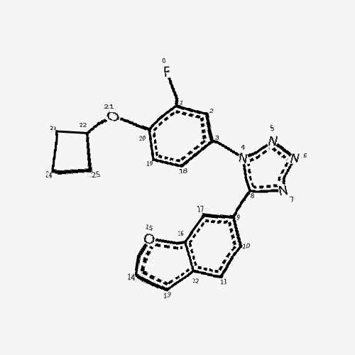 Fc1cc(-n2nnnc2-c2ccc3ccoc3c2)ccc1OC1CCC1